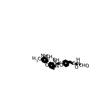 Cc1cc(Oc2ccc3nc(COc4ccc(CCSC(=O)NC=O)cc4)n(C)c3c2)cc(C)c1N